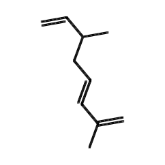 C=CC(C)CC=CC(=C)C